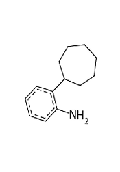 Nc1ccccc1C1CCCCCC1